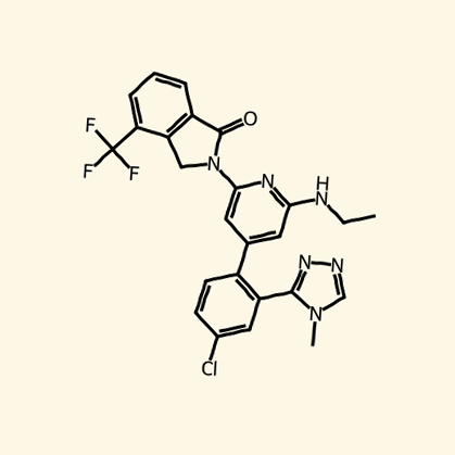 CCNc1cc(-c2ccc(Cl)cc2-c2nncn2C)cc(N2Cc3c(cccc3C(F)(F)F)C2=O)n1